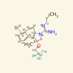 CCCN=C(N)N1CC(C)(OCC(F)(F)F)c2c1ccc1c(Br)cccc21